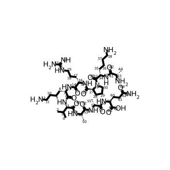 CC(C)[C@H](NC(=O)[C@H](CCCCN)NC(=O)[C@H](CCCNC(=N)N)NC(=O)[C@@H]1CCCN1C(=O)[C@H](CCCCN)NC(=O)[C@H](C)N)C(=O)N[C@@H](C)C(=O)N[C@H](C)C(=O)N[C@@H](CCC(N)=O)C(=O)O